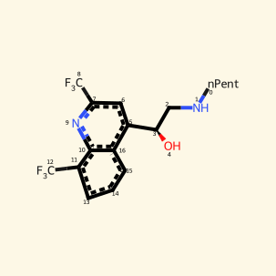 CCCCCNC[C@@H](O)c1cc(C(F)(F)F)nc2c(C(F)(F)F)cccc12